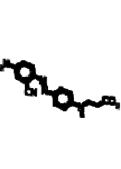 CN(CCC(=O)O)c1ccc(N=Nc2ccc([N+](=O)[O-])cc2C#N)cc1